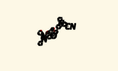 N#Cc1ccc2c(c1)c1cc(-c3ccc4c(c3)C3(c5cc(-c6nc(-c7ccccc7)cc(-c7ccccc7)n6)ccc5O4)c4ccccc4-c4ccccc43)ccc1n2-c1ccccc1